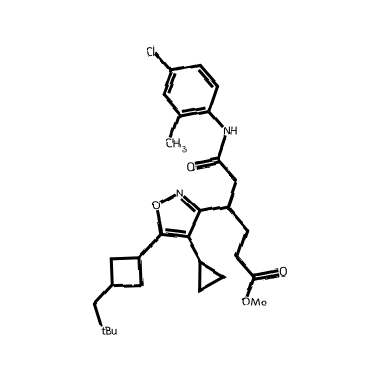 COC(=O)CCC(CC(=O)Nc1ccc(Cl)cc1C)c1noc(C2CC(CC(C)(C)C)C2)c1C1CC1